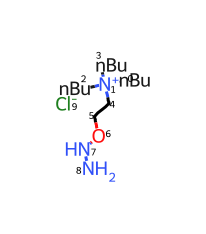 CCCC[N+](CCCC)(CCCC)CCONN.[Cl-]